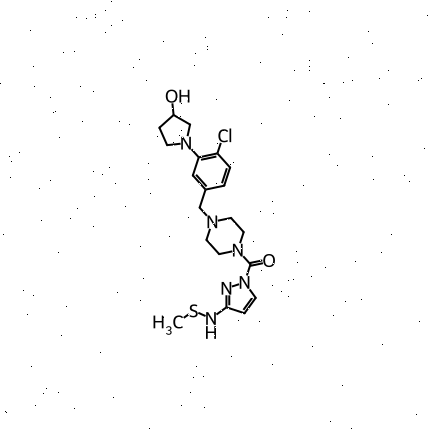 CSNc1ccn(C(=O)N2CCN(Cc3ccc(Cl)c(N4CCC(O)C4)c3)CC2)n1